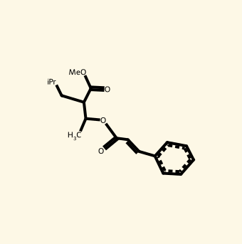 COC(=O)C(CC(C)C)C(C)OC(=O)/C=C/c1ccccc1